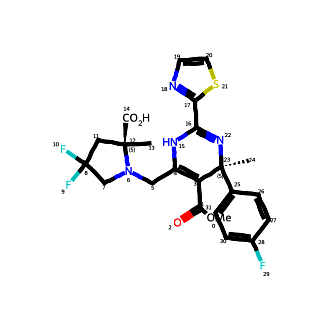 COC(=O)C1=C(CN2CC(F)(F)C[C@@]2(C)C(=O)O)NC(c2nccs2)=N[C@@]1(C)c1ccc(F)cc1